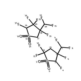 O=S1(=O)C(F)C(F)(C(F)F)CC1(F)F.O=S1(=O)CC(F)(C(F)F)C(F)(F)C1F